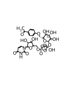 CC(=O)c1ccc(OC[C@H]2OC(OP(=O)(O)OP(=O)(O)OC[C@H]3O[C@@H](n4ccc(=O)[nH]c4=O)C(O)[C@H]3O)[C@H](O)[C@@H](O)[C@H]2O)cc1